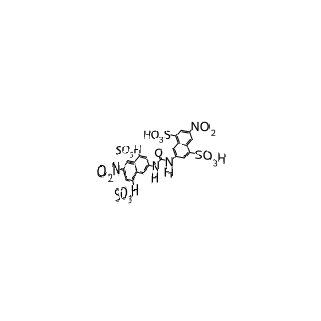 O=C(Nc1cc(S(=O)(=O)O)c2cc([N+](=O)[O-])cc(S(=O)(=O)O)c2c1)Nc1cc(S(=O)(=O)O)c2cc([N+](=O)[O-])cc(S(=O)(=O)O)c2c1